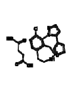 Clc1ccc2c(c1-n1nccc1-c1ccoc1)CCNCC2.O=C(O)CCC(=O)O